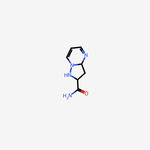 NC(=O)C1CC2N=CC=CN2N1